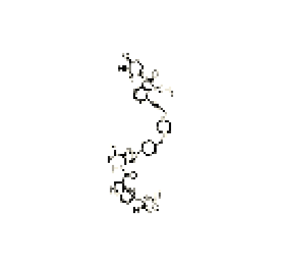 Cn1c(=O)n([C@@H]2CCC(=O)NC2=O)c2cccc(C#CCN3CCN(CC4CCC(n5cc(NC(=O)c6cnn7ccc(N8C[C@H]9C[C@@H]8CO9)nc67)c(C(F)F)n5)CC4)CC3)c21